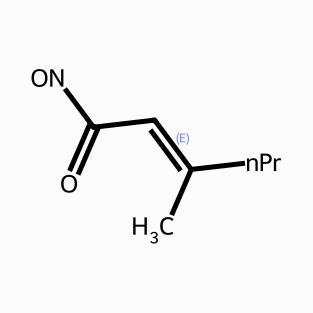 CCC/C(C)=C/C(=O)N=O